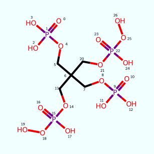 O=P(O)(O)OCC(COP(=O)(O)O)(COP(=O)(O)OO)COP(=O)(O)OO